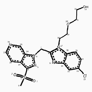 CS(=O)(=O)c1nn(Cc2nc3cc(Cl)ccc3n2CCOCCO)c2cnccc12